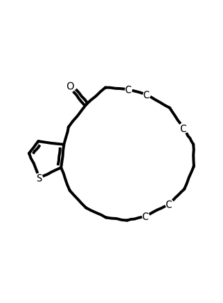 O=C1CCCCCCCCCCCCCCc2sccc2C1